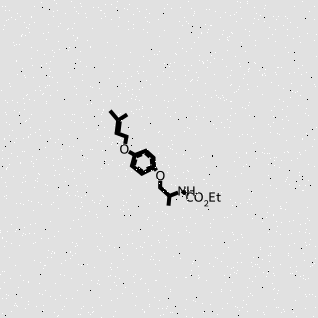 CCOC(=O)NC(C)COc1ccc(OCC=C(C)C)cc1